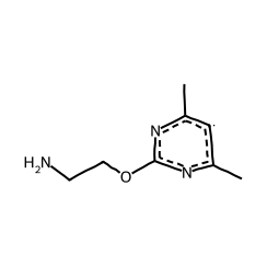 Cc1[c]c(C)nc(OCCN)n1